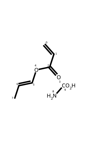 C=CC(=O)OC=CC.NC(=O)O